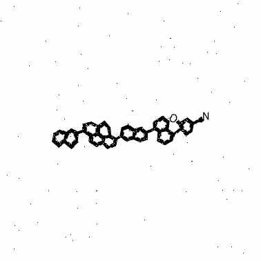 N#Cc1ccc2c(c1)Oc1ccc(-c3ccc4cc(-c5ccc6ccc7c(-c8ccc9ccccc9c8)ccc8ccc5c6c87)ccc4c3)c3cccc-2c13